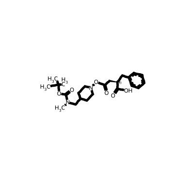 CN(CC1CCN(OC(=O)C[C@@H](Cc2ccccc2)C(=O)O)CC1)C(=O)OC(C)(C)C